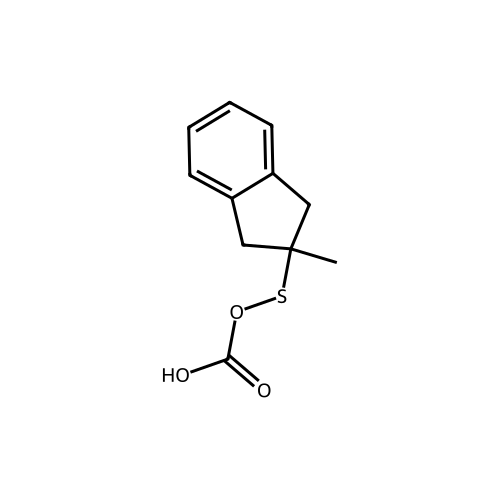 CC1(SOC(=O)O)Cc2ccccc2C1